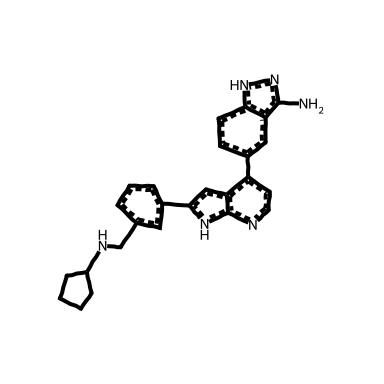 Nc1n[nH]c2ccc(-c3ccnc4[nH]c(-c5cccc(CNC6CCCC6)c5)cc34)cc12